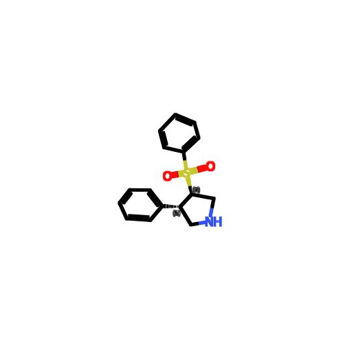 O=S(=O)(c1ccccc1)[C@H]1CNC[C@@H]1c1ccccc1